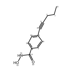 CCCC#Cc1ccc(C(=O)NO)cc1